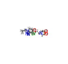 O=S1(=O)CCN(CCCOc2ccc3c(nnn3CC3CC3)c2Br)CC1